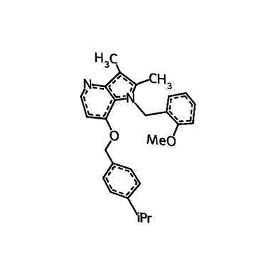 COc1ccccc1Cn1c(C)c(C)c2nccc(OCc3ccc(C(C)C)cc3)c21